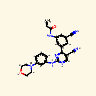 C=CC(=O)Nc1cc(C#N)cc(-c2nc(Nc3cccc(N4CCOCC4)c3)ncc2C#N)c1